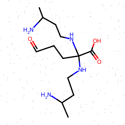 CC(N)CCNC(CCC=O)(NCCC(C)N)C(=O)O